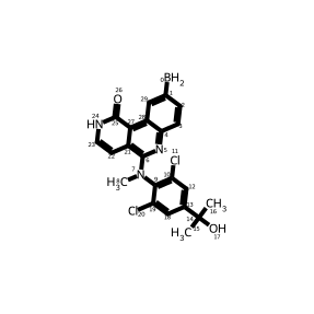 Bc1ccc2nc(N(C)c3c(Cl)cc(C(C)(C)O)cc3Cl)c3cc[nH]c(=O)c3c2c1